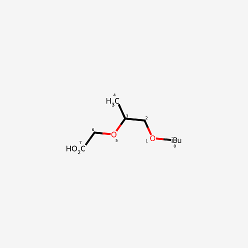 CCC(C)OCC(C)OCC(=O)O